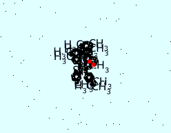 Cc1cc2c3c(c1)N(c1ccc(C(C)(C)C)cc1)c1c(sc4ccc(C)cc14)B3c1ccc3c(c1N2c1cc2c(cc1-c1ccccc1)C(C)(C)CCC2(C)C)C(C)(C)CCC3(C)C